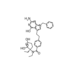 CCN(C(=O)c1ccc(CCc2cn(Cc3ccccc3)c3nc(N)nc(O)c23)cc1)[C@@](CC)(CCC(=O)O)C(=O)O